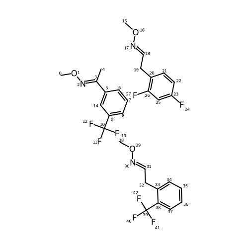 CON=C(C)c1cccc(C(F)(F)F)c1.CON=CCc1ccc(F)cc1F.CON=CCc1ccccc1C(F)(F)F